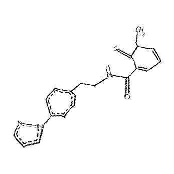 CC1C=CC=C(C(=O)NCCc2ccc(-n3cccn3)cc2)C1=S